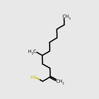 C=C(CS)CCC(C)CCCCCC